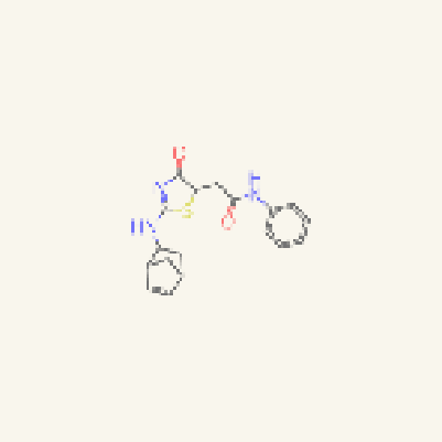 O=C(CC1SC(NC2CC3C=CC2C3)=NC1=O)Nc1ccccc1